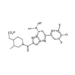 CCCN(c1cc(-c2cc(F)c(Cl)c(F)c2)nc2cc(C(=O)N3CCC(CC(=O)O)C(C)C3)nn12)C(C)C